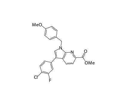 COC(=O)c1ccc2c(-c3ccc(Cl)c(F)c3)cn(Cc3ccc(OC)cc3)c2n1